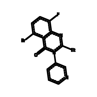 CCc1nc2c(F)ccc(Br)c2c(=O)n1-c1cccnc1